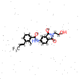 Cc1c(C=CC(F)(F)F)cccc1C(=O)Nc1ccc2c(c1)C(=O)N(CCO)C2=O